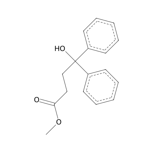 COC(=O)CCC(O)(c1ccccc1)c1ccccc1